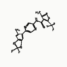 Cc1cc2c(cc1-c1cnc(NC(=O)c3c(C)noc3C(F)(F)F)cn1)OC(F)(F)O2